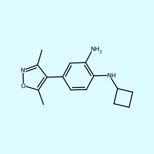 Cc1noc(C)c1-c1ccc(NC2CCC2)c(N)c1